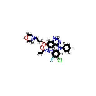 C=CC(=O)Nc1cc2c(N(c3ccccc3)c3ccc(F)c(Cl)c3)ncnc2cc1OCCCN1CCOCC1